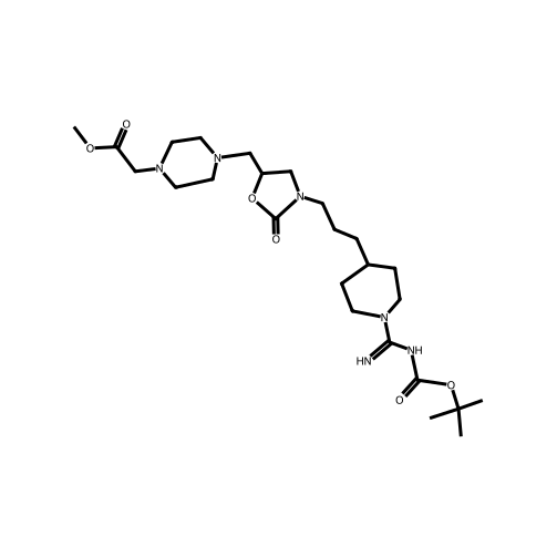 COC(=O)CN1CCN(CC2CN(CCCC3CCN(C(=N)NC(=O)OC(C)(C)C)CC3)C(=O)O2)CC1